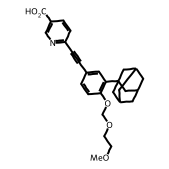 COCCOCOc1ccc(C#Cc2ccc(C(=O)O)cn2)cc1C12CC3CC(CC(C3)C1)C2